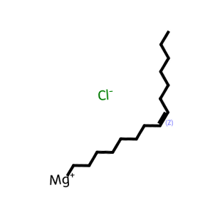 CCCCCC/C=C\CCCCCC[CH2][Mg+].[Cl-]